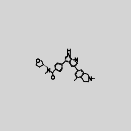 Cc1cc(-c2cnc3[nH]cc(-c4ccc(C(=O)N(C)C[C@@H]5CCOC5)cc4)c3c2)cc2c1CCN(C)C2